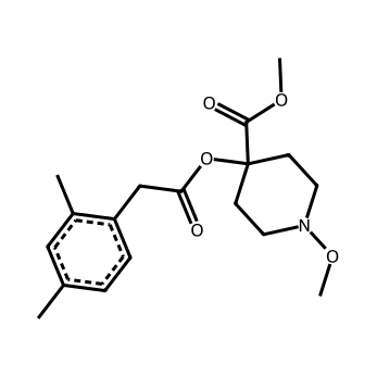 COC(=O)C1(OC(=O)Cc2ccc(C)cc2C)CCN(OC)CC1